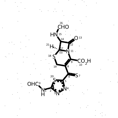 O=CNc1nnc(C(=S)C2=C(C(=O)O)N3C(=O)C(NC=O)[C@@H]3SC2)s1